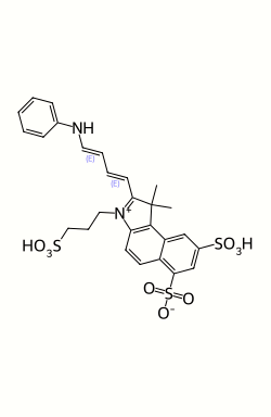 CC1(C)C(/C=C/C=C/Nc2ccccc2)=[N+](CCCS(=O)(=O)O)c2ccc3c(S(=O)(=O)[O-])cc(S(=O)(=O)O)cc3c21